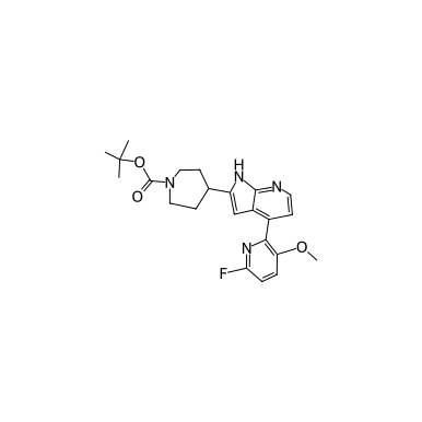 COc1ccc(F)nc1-c1ccnc2[nH]c(C3CCN(C(=O)OC(C)(C)C)CC3)cc12